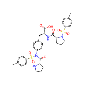 Cc1ccc(S(=O)(=O)N(C(=O)[C@@H]2CCCN2)c2ccc(C[C@H](NC(=O)[C@@H]3CCCN3S(=O)(=O)c3ccc(C)cc3)C(=O)O)cc2)cc1